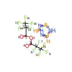 O=C(OC(=O)C(F)(F)C(F)(F)F)C(F)(F)C(F)(F)F.n1p[nH][pH][nH][pH]1